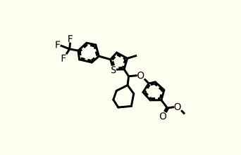 COC(=O)c1ccc(OC(c2sc(-c3ccc(C(F)(F)F)cc3)cc2C)C2CCCCC2)cc1